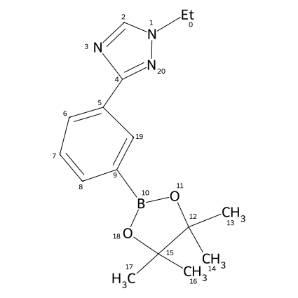 CCn1cnc(-c2cccc(B3OC(C)(C)C(C)(C)O3)c2)n1